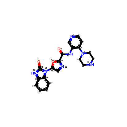 O=C(Nc1cnccc1N1CCNCC1)c1ncc(-n2c(=O)[nH]c3ccccc32)o1